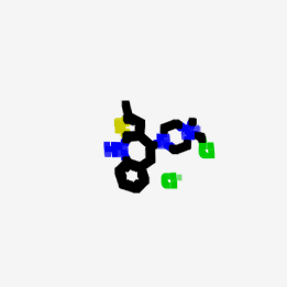 Cc1cc2c(s1)Nc1ccccc1C=C2N1CC[N+](C)(CCl)CC1.[Cl-]